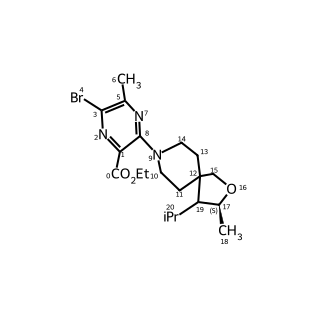 CCOC(=O)c1nc(Br)c(C)nc1N1CCC2(CC1)CO[C@@H](C)C2C(C)C